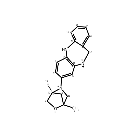 CC12C[C@@H](CO1)N(c1ccc3c(c1)NCc1cccnc1N3)C2